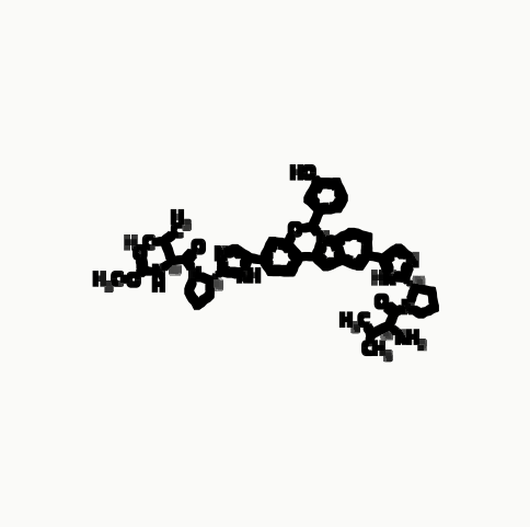 COC(=O)N[C@H](C(=O)N1CCC[C@H]1c1ncc(-c2ccc3c(c2)OC(c2cccc(O)c2)n2c-3cc3cc(-c4cnc([C@@H]5CCCN5C(=O)[C@@H](N)C(C)C)[nH]4)ccc32)[nH]1)C(C)C